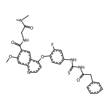 COc1cc2nccc(Oc3ccc(NC(=S)NC(=O)Cc4ccccc4)cc3F)c2cc1C(=O)NCC(=O)N(C)C